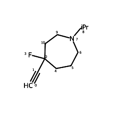 C#CC1(F)CCCN(C(C)C)CC1